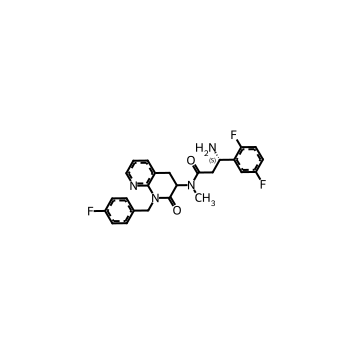 CN(C(=O)C[C@H](N)c1cc(F)ccc1F)C1Cc2cccnc2N(Cc2ccc(F)cc2)C1=O